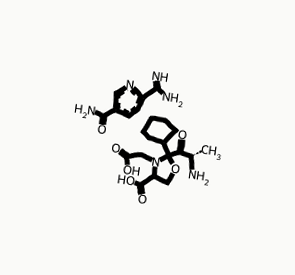 C[C@H](N)C(=O)C1(C2CCCCC2)OCC(C(=O)O)N1CC(=O)O.N=C(N)c1ccc(C(N)=O)cn1